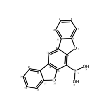 OB(O)c1c2oc3ccccc3c2cc2c1oc1ccccc12